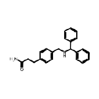 NC(=O)CCc1ccc(CNC(c2ccccc2)c2ccccc2)cc1